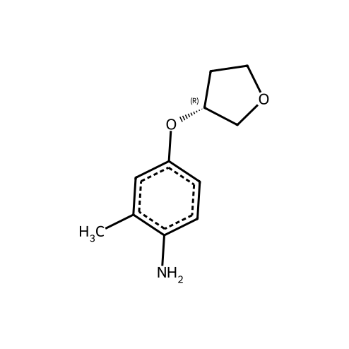 Cc1cc(O[C@@H]2CCOC2)ccc1N